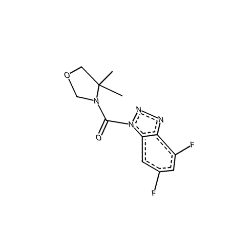 CC1(C)COCN1C(=O)n1nnc2c(F)cc(F)cc21